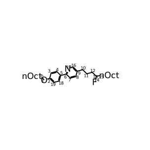 CCCCCCCCOc1ccc(-c2ccc(CCCC(F)CCCCCCCC)cn2)cc1